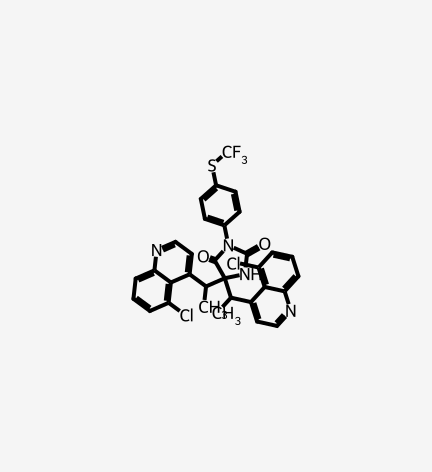 CC(c1ccnc2cccc(Cl)c12)C1(C(C)c2ccnc3cccc(Cl)c23)NC(=O)N(c2ccc(SC(F)(F)F)cc2)C1=O